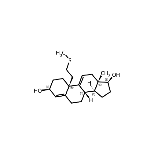 CSCC[C@]12CC[C@H](O)C=C1CC[C@@H]1C2=CC[C@]2(C)[C@@H](O)CC[C@@H]12